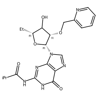 CC[C@H]1O[C@@H](n2cnc3c(=O)[nH]c(NC(=O)C(C)C)nc32)[C@@H](OCc2ccccn2)C1O